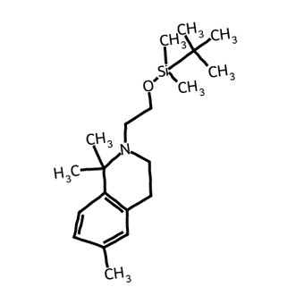 Cc1ccc2c(c1)CCN(CCO[Si](C)(C)C(C)(C)C)C2(C)C